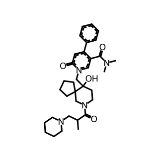 CC(CN1CCCCC1)C(=O)N1CCC(O)(Cn2cc(C(=O)N(C)C)c(-c3ccccc3)cc2=O)C2(CCCC2)C1